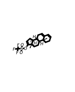 C[C@]12CCC=CC1=CC[C@@H]1[C@@H]2CC[C@]2(C)C(OS(=O)(=O)C(F)(F)F)=CC[C@@H]12